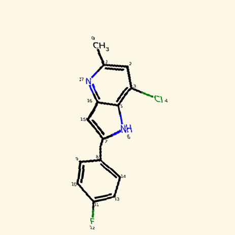 Cc1cc(Cl)c2[nH]c(-c3ccc(F)cc3)cc2n1